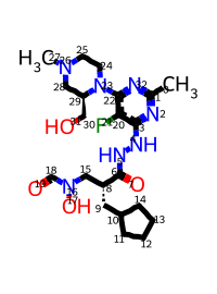 Cc1nc(NNC(=O)[C@H](CC2CCCC2)CN(O)C=O)c(F)c(N2CCN(C)C[C@@H]2CO)n1